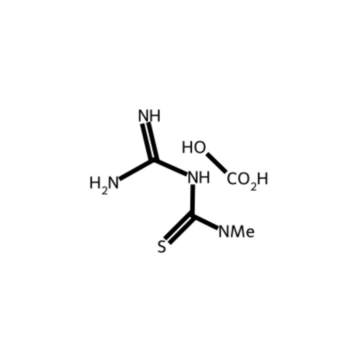 CNC(=S)NC(=N)N.O=C(O)O